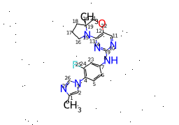 Cc1cn(-c2ccc(Nc3ncc4c(n3)N3CCC[C@]3(C)CO4)cc2F)cn1